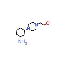 NC1CCCC(N2CCN(CC=O)CC2)C1